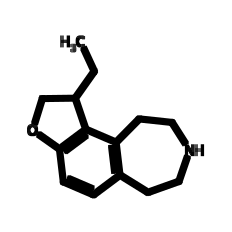 CCC1COc2ccc3c(c21)CCNCC3